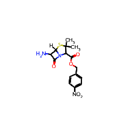 CC1(C)S[C@H]2C(N)C(=O)N2C1C(=O)OCc1ccc([N+](=O)[O-])cc1